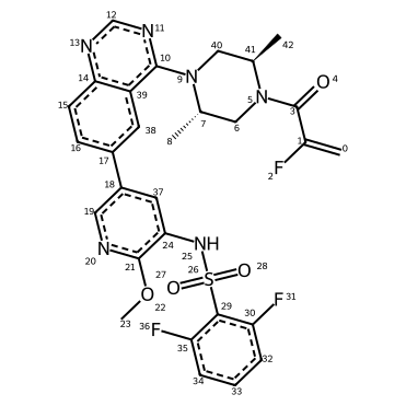 C=C(F)C(=O)N1C[C@H](C)N(c2ncnc3ccc(-c4cnc(OC)c(NS(=O)(=O)c5c(F)cccc5F)c4)cc23)C[C@H]1C